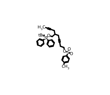 CC#CCC(CC#CCCOS(=O)(=O)c1ccc(C)cc1)CO[Si](c1ccccc1)(c1ccccc1)C(C)(C)C